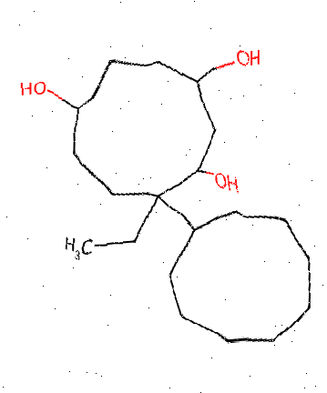 CCC1(C2CCCCCCCC2)CCC(O)CCC(O)CC1O